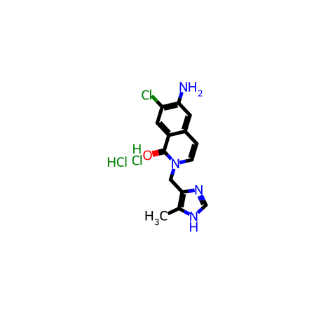 Cc1[nH]cnc1Cn1ccc2cc(N)c(Cl)cc2c1=O.Cl.Cl